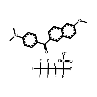 COc1ccc2cc(C(=O)c3ccc([S+](C)C)cc3)ccc2c1.O=S(=O)([O-])C(F)(F)C(F)(F)C(F)(F)C(F)(F)F